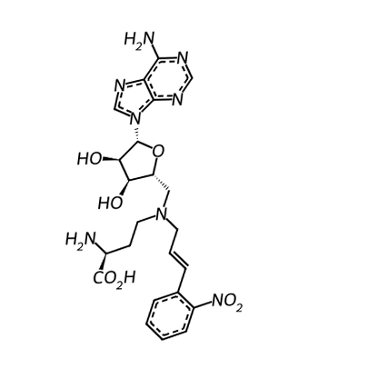 Nc1ncnc2c1ncn2[C@@H]1O[C@H](CN(C/C=C/c2ccccc2[N+](=O)[O-])CC[C@H](N)C(=O)O)[C@@H](O)[C@H]1O